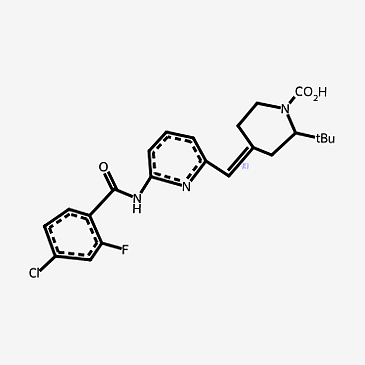 CC(C)(C)C1C/C(=C/c2cccc(NC(=O)c3ccc(Cl)cc3F)n2)CCN1C(=O)O